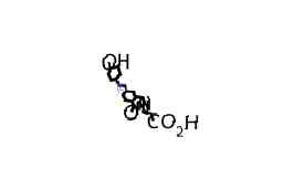 O=C(O)CCn1ncc2cc(/C=C/c3ccc(O)cc3)ccc2c1=O